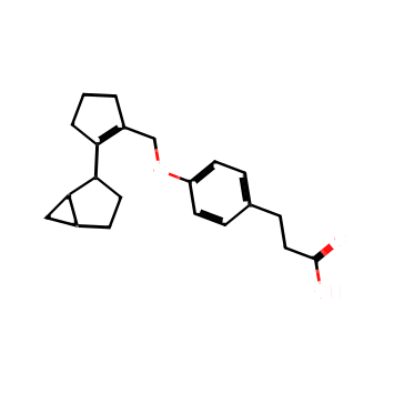 O=C(O)CCc1ccc(OCC2=C(C3CCC4CC43)CCC2)cc1